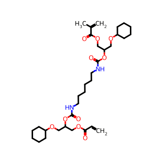 C=CC(=O)OCC(COC1CCCCC1)OC(=O)NCCCCCCNC(=O)OC(COC(=O)C(=C)C)COC1CCCCC1